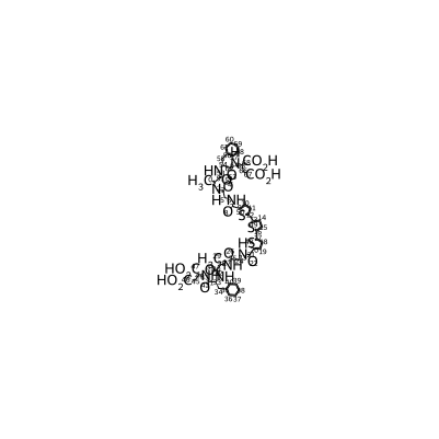 C[C@H](NC(=O)CNC(=O)c1ccc(-c2ccc(-c3ccc(C(=O)NCC(=O)N[C@@H](C)C(=O)N[C@@H](Cc4ccccc4)C(=O)N[C@@H](CC(=O)O)C(=O)O)s3)s2)s1)C(=O)N[C@@H](Cc1ccccc1)C(=O)N[C@@H](CC(=O)O)C(=O)O